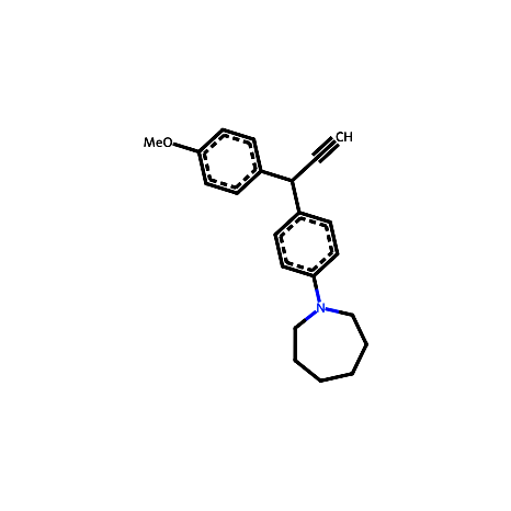 C#CC(c1ccc(OC)cc1)c1ccc(N2CCCCCC2)cc1